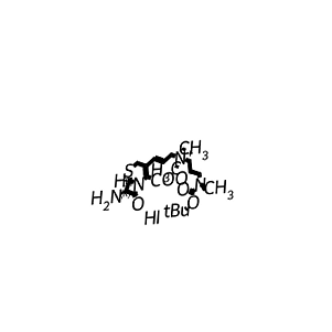 CN(CCC[N+](C)(C)CC=CC1=C(C(=O)[O-])N2C(=O)[C@@H](N)[C@H]2SC1)C(=O)OC(C)(C)C.I